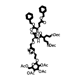 CCCCCCCCCCCCC(CCCCCCCCCCCC)C(=O)N[C@@H](COCc1cn(CCOC2OC(COC(C)=O)C(OC(C)=O)C(OC(C)=O)C2OC(C)=O)nn1)C(=O)N[C@H](CCC(=O)OCc1ccccc1)C(=O)OCc1ccccc1